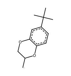 [CH2]C1COc2cc(C(C)(C)C)ccc2O1